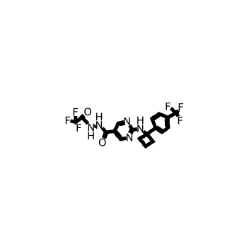 O=C(NNC(=O)C(F)(F)F)c1cnc(NC2(c3ccc(C(F)(F)F)cc3)CCC2)nc1